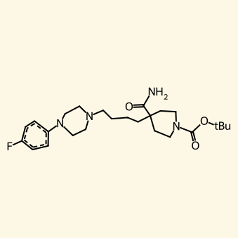 CC(C)(C)OC(=O)N1CCC(CCCCN2CCN(c3ccc(F)cc3)CC2)(C(N)=O)CC1